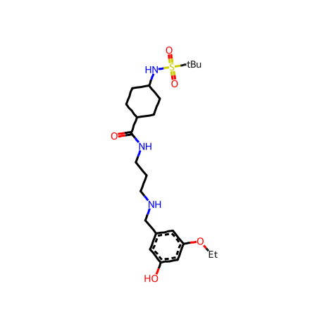 CCOc1cc(O)cc(CNCCCNC(=O)C2CCC(NS(=O)(=O)C(C)(C)C)CC2)c1